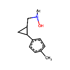 CC(=O)N(O)CC1CC1c1ccc(C)cc1